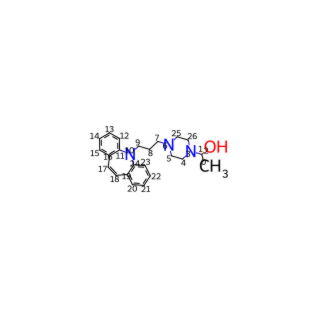 CC(O)N1CCN(CCCN2c3ccccc3C=Cc3ccccc32)CC1